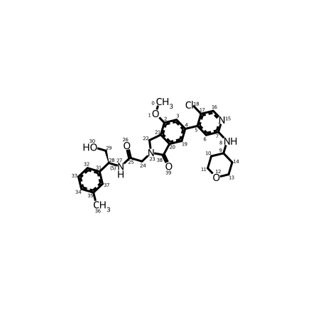 COc1cc(-c2cc(NC3CCOCC3)ncc2Cl)cc2c1CN(CC(=O)N[C@H](CO)c1cccc(C)c1)C2=O